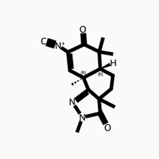 [C-]#[N+]C1=C[C@]2(C)C3=NN(C)C(=O)C3(C)CC[C@H]2C(C)(C)C1=O